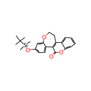 CC(C)(C)[Si](C)(C)Oc1ccc2c(c1)OCCc1c-2c(=O)oc2ccccc12